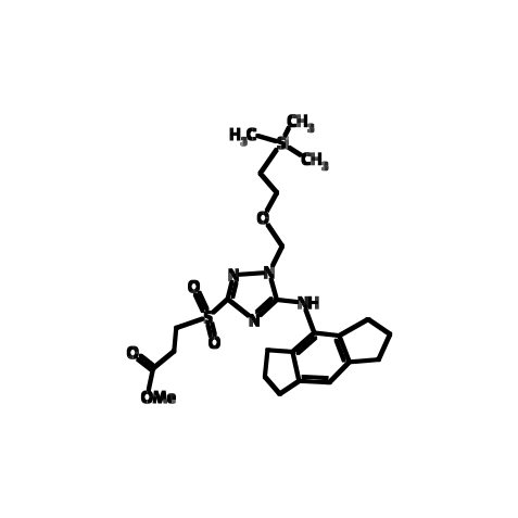 COC(=O)CCS(=O)(=O)c1nc(Nc2c3c(cc4c2CCC4)CCC3)n(COCC[Si](C)(C)C)n1